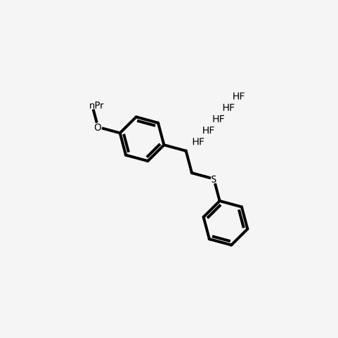 CCCOc1ccc(CCSc2ccccc2)cc1.F.F.F.F.F